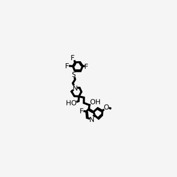 COc1ccc2ncc(F)c([C@H](O)CCC3(CO)CCN(CCSc4cc(F)cc(F)c4F)CC3)c2c1